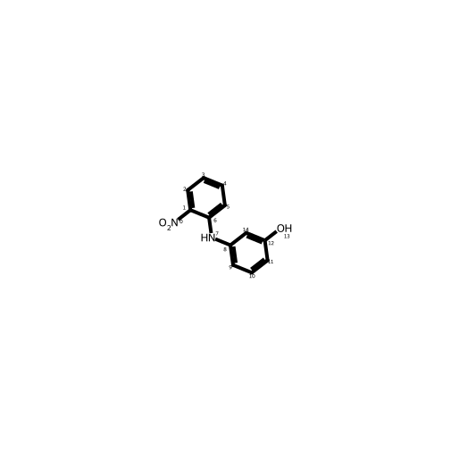 O=[N+]([O-])c1ccccc1Nc1cccc(O)c1